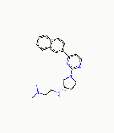 CN(C)CCN[C@H]1CCN(c2nccc(-c3ccc4ccccc4c3)n2)C1